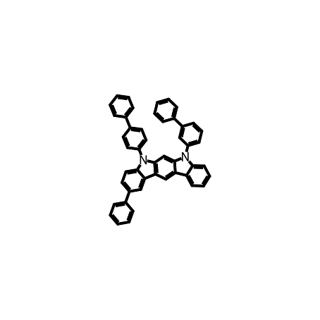 c1ccc(-c2ccc(-n3c4ccc(-c5ccccc5)cc4c4cc5c6ccccc6n(-c6cccc(-c7ccccc7)c6)c5cc43)cc2)cc1